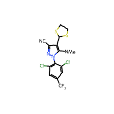 CNc1c(C2SCCS2)c(C#N)nn1-c1c(Cl)cc(C(F)(F)F)cc1Cl